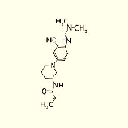 C=CC(=O)NC1CCCN(c2ccc(/N=C/N(C)C)c(C#N)c2)C1